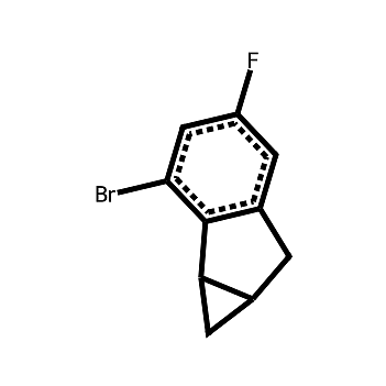 Fc1cc(Br)c2c(c1)CC1CC21